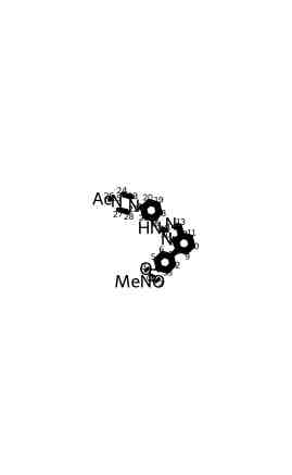 CNS(=O)(=O)c1ccc(-c2cccc3cnc(Nc4cccc(N5CCN(C(C)=O)CC5)c4)nc23)cc1